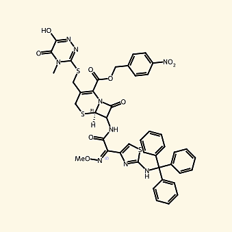 CO/N=C(\C(=O)NC1C(=O)N2C(C(=O)OCc3ccc([N+](=O)[O-])cc3)=C(CSc3nnc(O)c(=O)n3C)CS[C@H]12)c1csc(NC(c2ccccc2)(c2ccccc2)c2ccccc2)n1